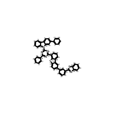 c1ccc(-c2ccc3c4ccccc4n(-c4nc(-c5ccccc5)nc(-c5cccc6c5sc5ccc(-c7cccc(-c8nc9ccccc9s8)c7)cc56)n4)c3c2)cc1